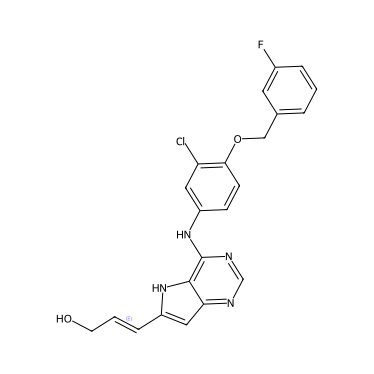 OC/C=C/c1cc2ncnc(Nc3ccc(OCc4cccc(F)c4)c(Cl)c3)c2[nH]1